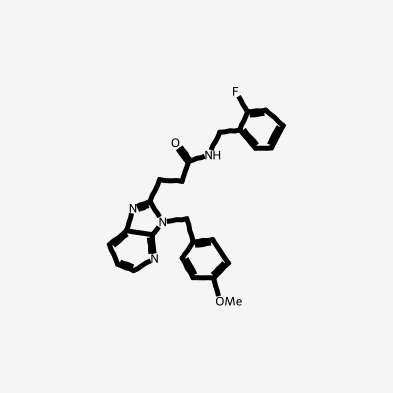 COc1ccc(Cn2c(CCC(=O)NCc3ccccc3F)nc3cccnc32)cc1